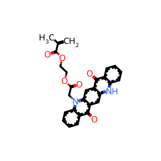 C=C(C)C(=O)OCCOC(=O)Cn1c2ccccc2c(=O)c2cc3[nH]c4ccccc4c(=O)c3cc21